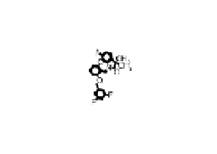 CC1(C)C(=O)N(Cc2c(Cl)cccc2OCc2cc(F)cc(F)c2)c2cc(F)ccc21